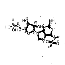 CN(c1nc(N)nc2c1ncn2[C@@H]1O[C@H](COP(=O)(O)O)C(O)[C@]1(C)O)S(C)(=O)=O